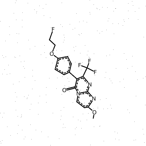 COc1ccn2c(=O)c(-c3ccc(OCCF)cc3)c(C(F)(F)F)nc2n1